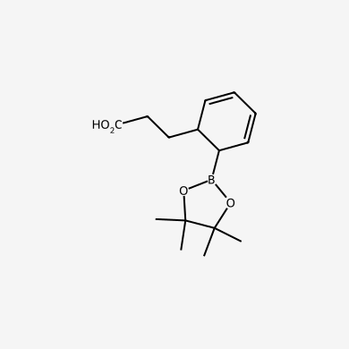 CC1(C)OB(C2C=CC=CC2CCC(=O)O)OC1(C)C